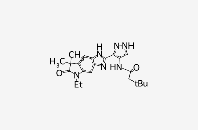 CCN1C(=O)C(C)(C)c2cc3[nH]c(-c4n[nH]cc4NC(=O)CC(C)(C)C)nc3cc21